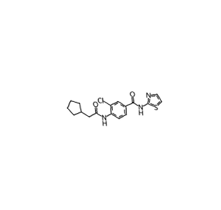 O=C(CC1CCCC1)Nc1ccc(C(=O)Nc2nccs2)cc1Cl